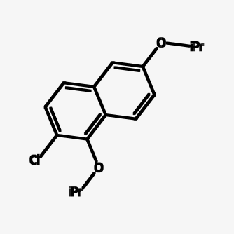 CC(C)Oc1ccc2c(OC(C)C)c(Cl)ccc2c1